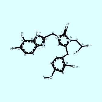 COc1ccc(Cc2cn(Cc3nc4ccc(F)c(F)c4[nH]3)c(=O)n2CC(F)F)c(Cl)c1